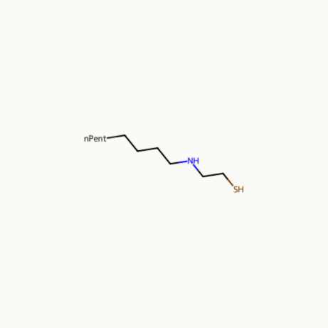 CCCCCCCCCNCCS